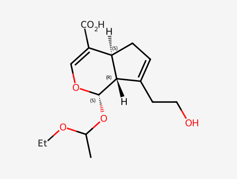 CCOC(C)O[C@@H]1OC=C(C(=O)O)[C@H]2CC=C(CCO)[C@H]12